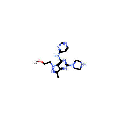 CCOCCn1nc(C)c2nc(N3CCNCC3)nc(Nc3ccncn3)c21